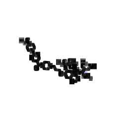 C/C(C=N)=C(/N)Nc1ncnc2cc(OCCCN3CCN(C(=O)c4cnc(N5CCN(C)CC5)nc4)CC3)c(SC(C)(C)C)cc12